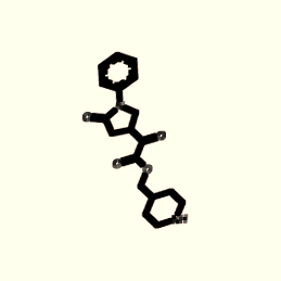 O=C(OCC1CCNCC1)C(=O)C1CC(=O)N(c2ccccc2)C1